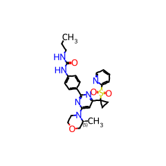 CCCNC(=O)Nc1ccc(-c2nc(N3CCOC[C@@H]3C)cc(C3(S(=O)(=O)c4ccccn4)CC3)n2)cc1